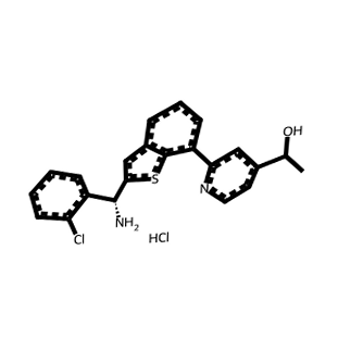 CC(O)c1ccnc(-c2cccc3cc([C@H](N)c4ccccc4Cl)sc23)c1.Cl